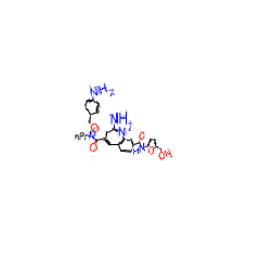 CCCN(OCc1ccc(N)cc1)C(=O)C1=Cc2ccc(C(=O)Nc3ccc(CO)o3)cc2N=C(N)C1